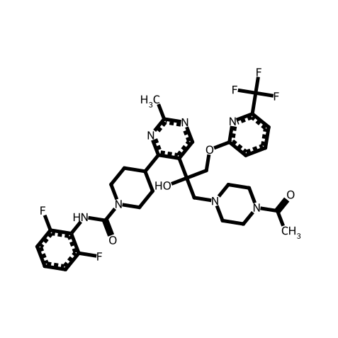 CC(=O)N1CCN(CC(O)(COc2cccc(C(F)(F)F)n2)c2cnc(C)nc2C2CCN(C(=O)Nc3c(F)cccc3F)CC2)CC1